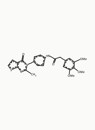 COc1cc(CC(=O)Nc2ccc(-n3c(C)nc4sccc4c3=O)cc2)cc(OC)c1OC